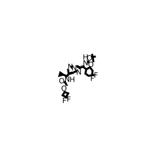 CC(C)(C)OC(=O)N[C@H](c1cn2ncc([C@H](NC(=O)COC3CC(F)(F)C3)C3CC3)cc2n1)C1CCC(F)(F)CC1